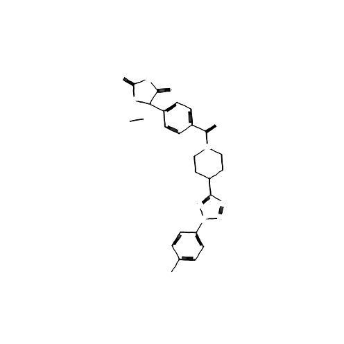 CC[C@]1(c2ccc(C(=O)N3CCC(c4nnn(-c5ccc(C)cc5)n4)CC3)cc2)NC(=O)NC1=O